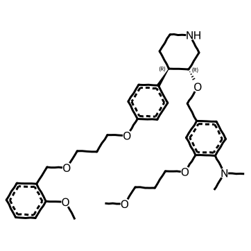 COCCCOc1cc(CO[C@H]2CNCC[C@@H]2c2ccc(OCCCOCc3ccccc3OC)cc2)ccc1N(C)C